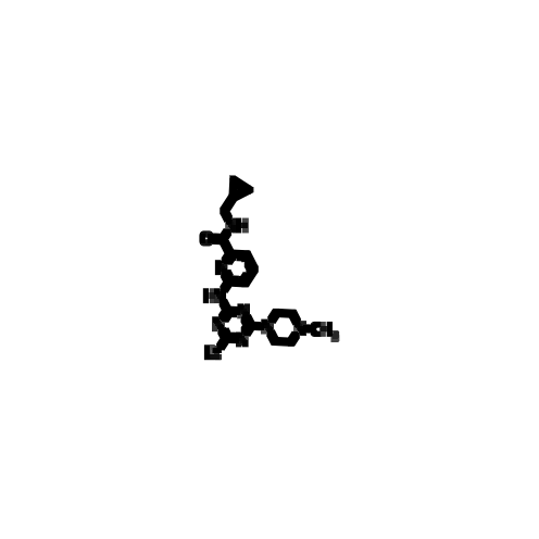 CCc1nc(Nc2cccc(C(=O)NCC3CC3)n2)nc(N2CCN(C)CC2)n1